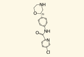 O=C(Nc1ccc([C@H]2CNCCO2)cc1)c1ccc(Cl)cn1